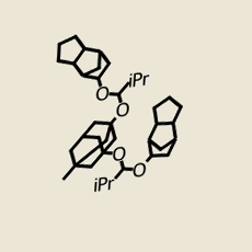 CC(C)C(OC1CC2CC1C1CCCC21)OC12CC3CC(C)(C1)CC(OC(OC1CC4CC1C1CCCC41)C(C)C)(C3)C2